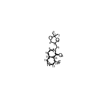 CC1(C)OCC(Cn2ccc3cncc(F)c3c2=O)O1